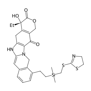 CC[C@@]1(O)C(=O)OCC2=C1CC1=C(C2=O)N2Cc3c(cccc3CC[Si](C)(C)CSC3=NCCS3)C=C2N1